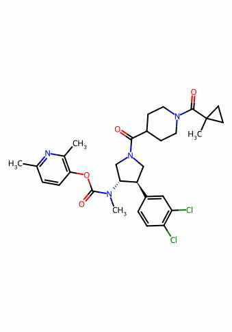 Cc1ccc(OC(=O)N(C)[C@@H]2CN(C(=O)C3CCN(C(=O)C4(C)CC4)CC3)C[C@H]2c2ccc(Cl)c(Cl)c2)c(C)n1